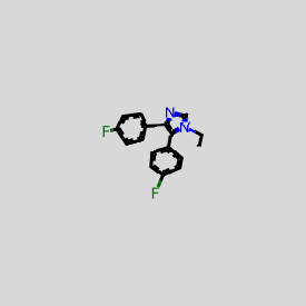 CCn1cnc(-c2ccc(F)cc2)c1-c1ccc(F)cc1